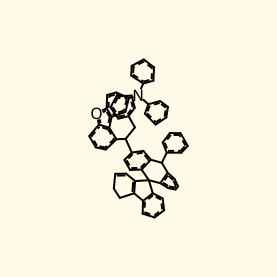 C1=CC2=C(CC1)c1ccccc1C21c2ccccc2C(c2ccccc2)c2cc(C(Cc3ccccc3)c3cccc4oc5ccc(N(c6ccccc6)c6ccccc6)cc5c34)ccc21